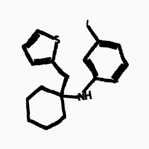 Ic1cc[c]c(NC2(Cc3cccs3)CCCCC2)c1